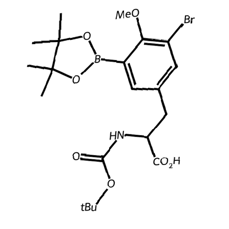 COc1c(Br)cc(CC(NC(=O)OC(C)(C)C)C(=O)O)cc1B1OC(C)(C)C(C)(C)O1